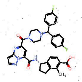 Cc1c(C(=O)O)ccc2c1CC[C@@H]2NC(=O)c1cc(C(=O)N2CCN(C(c3ccc(F)cc3)c3ccc(F)cc3)CC2)nc2ccnn12